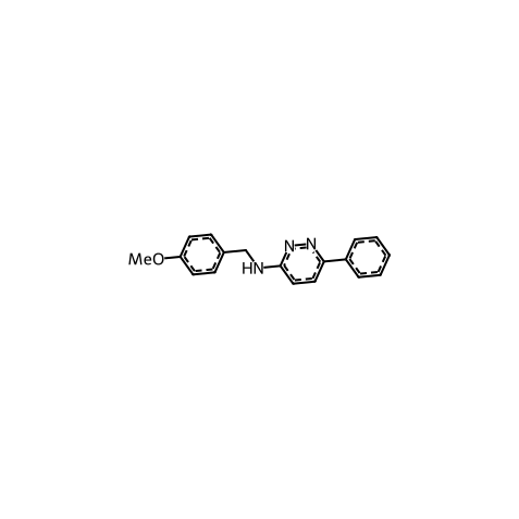 COc1ccc(CNc2ccc(-c3ccccc3)nn2)cc1